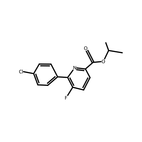 CC(C)OC(=O)c1ccc(F)c(-c2ccc(Cl)cc2)n1